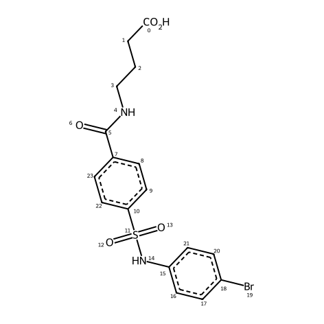 O=C(O)CCCNC(=O)c1ccc(S(=O)(=O)Nc2ccc(Br)cc2)cc1